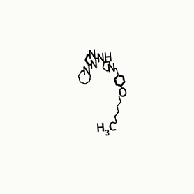 CCCCCCCOc1ccc(CN2CCC(Nc3nccc(N4CCCCCC4)n3)C2)cc1